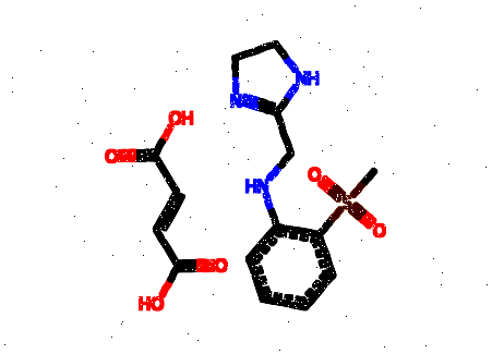 CS(=O)(=O)c1ccccc1NCC1=NCCN1.O=C(O)/C=C/C(=O)O